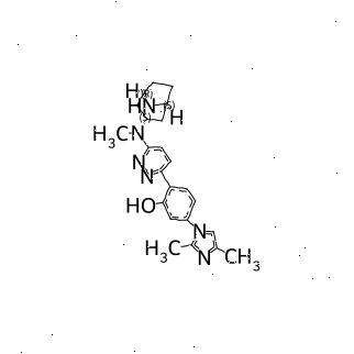 Cc1cn(-c2ccc(-c3ccc(N(C)[C@@H]4C[C@H]5CC[C@@H](C4)N5)nn3)c(O)c2)c(C)n1